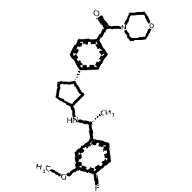 COc1cc([C@@H](C)NC2CC[C@H](c3ccc(C(=O)N4CCOCC4)cc3)C2)ccc1F